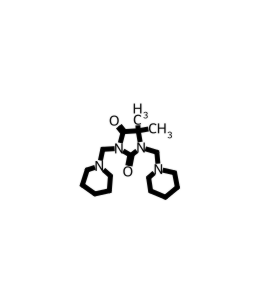 CC1(C)C(=O)N(CN2CCCCC2)C(=O)N1CN1CCCCC1